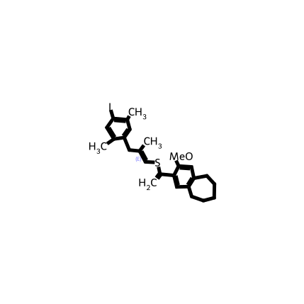 C=C(S/C=C(\C)Cc1cc(C)c(I)cc1C)c1cc2c(cc1OC)CCCCC2